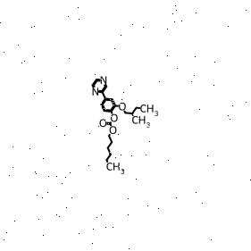 CCCCCCOC(=O)Oc1ccc(-c2cnccn2)cc1OCC(C)CC